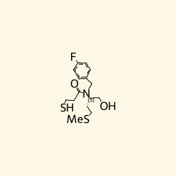 CSCC[C@@H](CO)N(Cc1ccc(F)cc1)C(=O)CCS